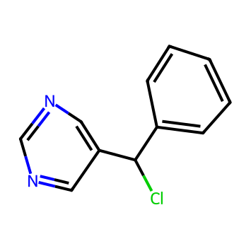 ClC(c1ccccc1)c1cncnc1